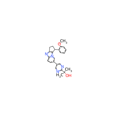 COc1ccccc1C1CCc2nc3ccc(-c4cnc(C(C)(C)O)nc4)cn3c21